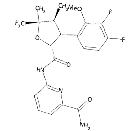 COc1c([C@@H]2[C@H](C(=O)Nc3cccc(C(N)=O)n3)O[C@@](C)(C(F)(F)F)[C@H]2C)ccc(F)c1F